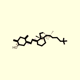 C=C1CC(=C)[C@H](O)C/C1=C/C=C1\CCC[C@]2(C)[C@@H]([C@H](C)CCCC(C)(C)C)CC[C@@]12C